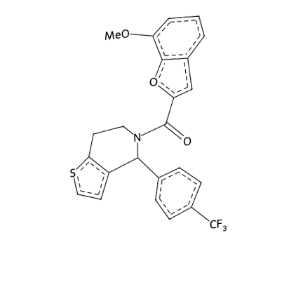 COc1cccc2cc(C(=O)N3CCc4sccc4C3c3ccc(C(F)(F)F)cc3)oc12